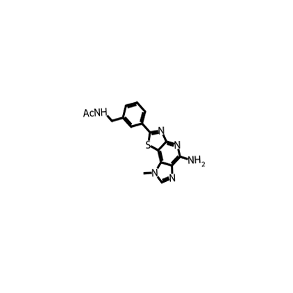 CC(=O)NCc1cccc(-c2nc3nc(N)c4ncn(C)c4c3s2)c1